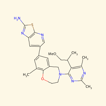 COCC(C)c1c(C)nc(C)nc1N1CCOc2c(C)cc(-c3cnc4sc(N)nc4c3)cc2C1